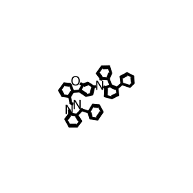 C1=CCC(c2cccc3c2c2ccccc2n3-c2ccc3c(c2)oc2cccc(-c4nc(-c5ccccc5)c5ccccc5n4)c23)C=C1